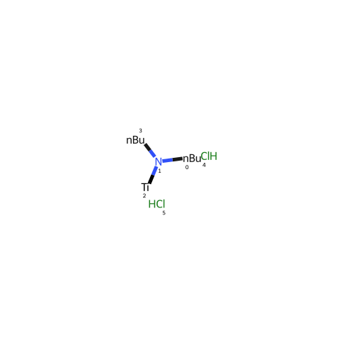 CCCC[N]([Ti])CCCC.Cl.Cl